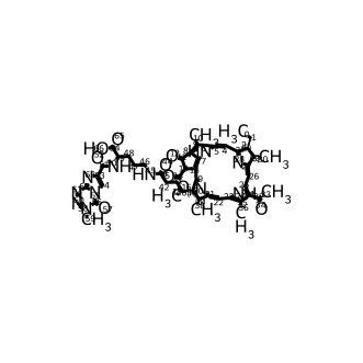 CC[C@@H]1c2cc3[nH]c4c(c3C)C(=O)C(C(=O)OC)c4c3nc(cc4[nH]c(cc(n2)[C@H]1C)c(C(C)=O)c4C)[C@H](C)[C@H]3CCCC(=O)NCCCC(NC(=O)c1cn2c(=O)n(C)nnc2n1)C(=O)O